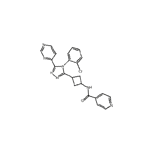 O=C(NC1CC(c2nnc(-c3ccncn3)n2-c2ccccc2Cl)C1)c1ccncc1